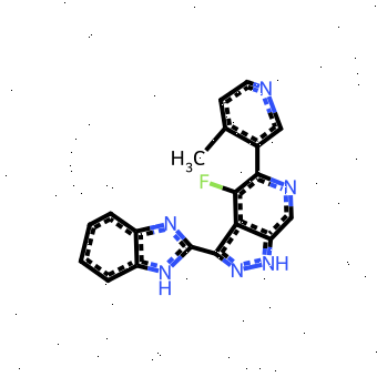 Cc1ccncc1-c1ncc2[nH]nc(-c3nc4ccccc4[nH]3)c2c1F